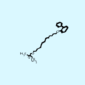 CCC1(COCCCCCCCCCCCCOc2ccccc2-c2ccccc2)OC1C